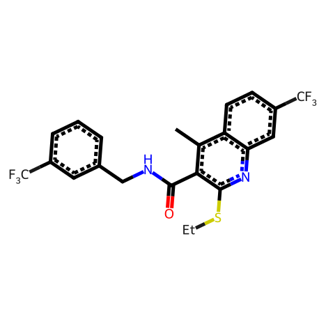 CCSc1nc2cc(C(F)(F)F)ccc2c(C)c1C(=O)NCc1cccc(C(F)(F)F)c1